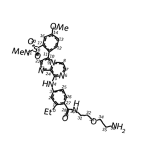 CCc1cc(Nc2nccn3c(-c4ccc(OC)cc4S(=O)(=O)NC)cnc23)ccc1C(=O)NCCOCCN